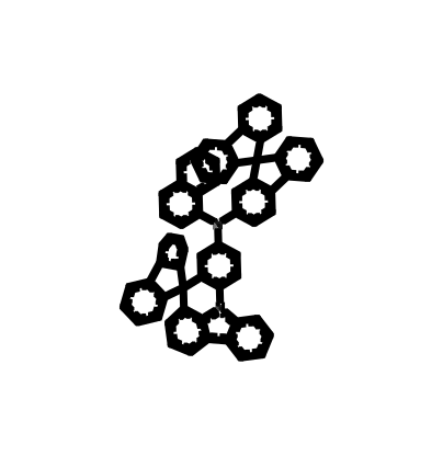 c1ccc2c(c1)-c1ccccc1C21c2ccccc2-c2ccc(N(c3ccc4c(c3)C3(c5ccccc5-c5ccccc53)c3cccc5c6ccccc6n-4c35)c3cccc4ccccc34)cc21